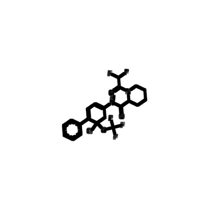 O=C(NC1=CC=C(c2ccccc2)C(Cl)(OC(F)(F)F)C1)C1CCCCN1C(=O)C(F)F